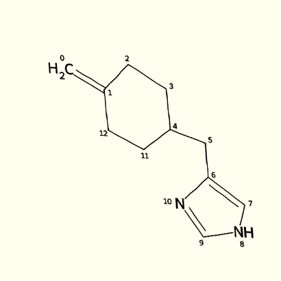 C=C1CCC(Cc2c[nH]cn2)CC1